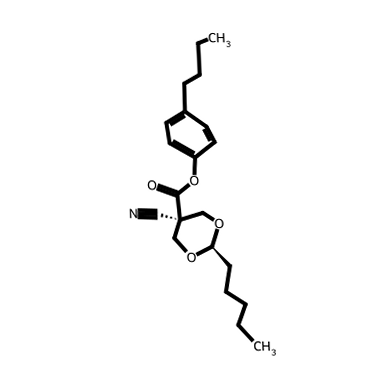 CCCCC[C@H]1OC[C@@](C#N)(C(=O)Oc2ccc(CCCC)cc2)CO1